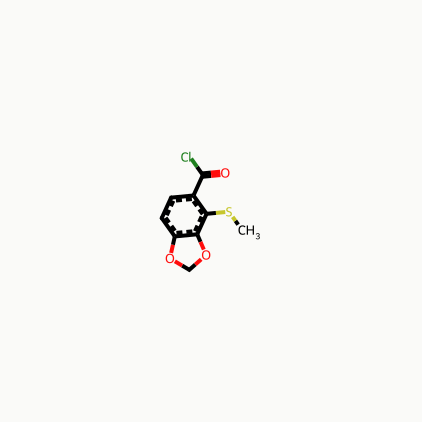 CSc1c(C(=O)Cl)ccc2c1OCO2